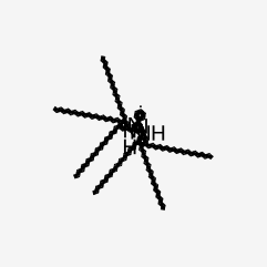 CCCCCCCCCCCCCCCCCCCc1cc(Nc2nc(Nc3cc(CCCCCCCCCCCCCCCCCCC)c(CCCCCCCCCCCCCCCCCCC)c(CCCCCCCCCCCCCCCCCCC)c3)nc(-c3cc[c]cc3)n2)cc(CCCCCCCCCCCCCCCCCCC)c1CCCCCCCCCCCCCCCCCCC